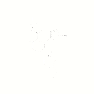 CCCCOc1ccc([C@]2(C)CC(c3ccn(C(C)C)n3)=C(C(=O)NS(C)(=O)=O)C(=O)N2)c(F)c1